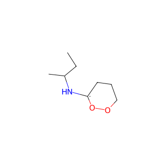 CCC(C)N[C]1CCCOO1